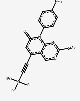 CSc1ncc2c(C#C[Si](C(C)C)(C(C)C)C(C)C)cc(=O)n(-c3ccc([N+](=O)[O-])cc3)c2n1